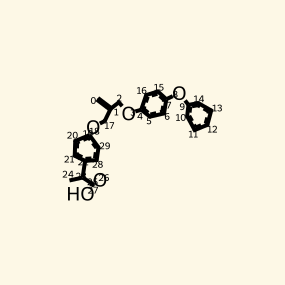 C=C(COc1ccc(Oc2ccccc2)cc1)COc1ccc(C(C)C(=O)O)cc1